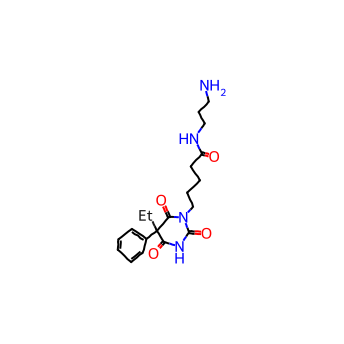 CCC1(c2ccccc2)C(=O)NC(=O)N(CCCCC(=O)NCCCN)C1=O